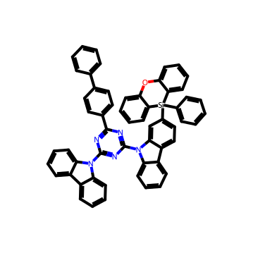 c1ccc(-c2ccc(-c3nc(-n4c5ccccc5c5ccccc54)nc(-n4c5ccccc5c5ccc([Si]6(c7ccccc7)c7ccccc7Oc7ccccc76)cc54)n3)cc2)cc1